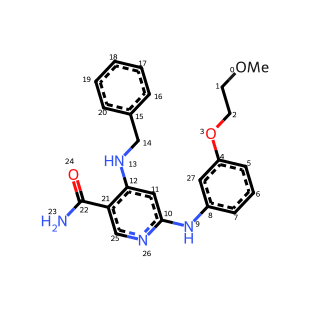 COCCOc1cccc(Nc2cc(NCc3ccccc3)c(C(N)=O)cn2)c1